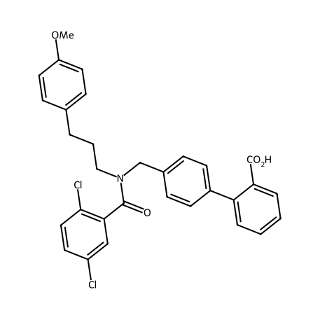 COc1ccc(CCCN(Cc2ccc(-c3ccccc3C(=O)O)cc2)C(=O)c2cc(Cl)ccc2Cl)cc1